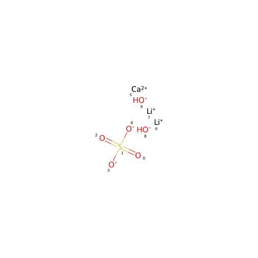 O=S(=O)([O-])[O-].[Ca+2].[Li+].[Li+].[OH-].[OH-]